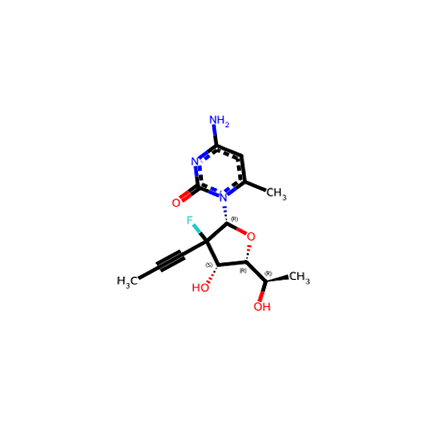 CC#CC1(F)[C@@H](O)[C@@H]([C@@H](C)O)O[C@H]1n1c(C)cc(N)nc1=O